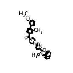 CCOc1cccc(-c2ccc(C(=O)N3CCN(c4ccc(C(=O)N(C)CC56CC7CC(CC(C7)C5)C6)nn4)CC3)cc2C)c1